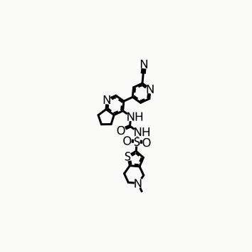 CN1CCc2sc(S(=O)(=O)NC(=O)Nc3c(-c4ccnc(C#N)c4)cnc4c3CCC4)cc2C1